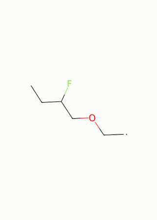 [CH2]COCC(F)CC